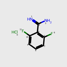 Cl.N=C(N)c1c(F)cccc1F